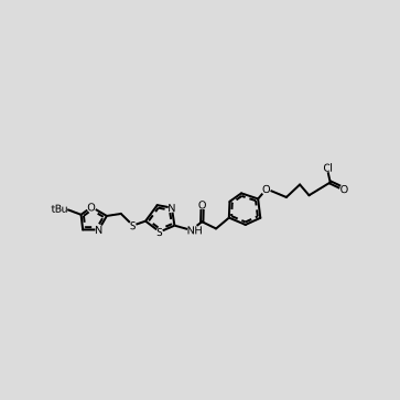 CC(C)(C)c1cnc(CSc2cnc(NC(=O)Cc3ccc(OCCCC(=O)Cl)cc3)s2)o1